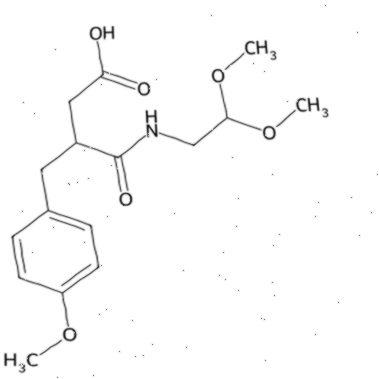 COc1ccc(CC(CC(=O)O)C(=O)NCC(OC)OC)cc1